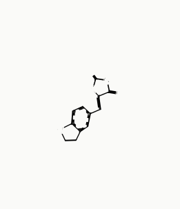 O=C1NC(=O)/C(=C/c2ccc3c(c2)CCO3)S1